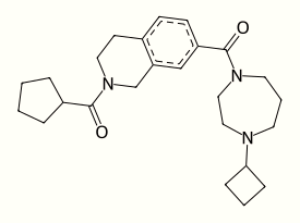 O=C(c1ccc2c(c1)CN(C(=O)C1CCCC1)CC2)N1CCCN(C2CCC2)CC1